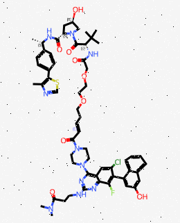 Cc1ncsc1-c1ccc([C@H](C)NC(=O)[C@@H]2C[C@@H](O)CN2C(=O)[C@@H](NC(=O)COCCOCC/C=C/C(=O)N2CCN(c3nc(NCCC(=O)N(C)C)nc4c(F)c(-c5cc(O)cc6ccccc56)c(Cl)cc34)CC2)C(C)(C)C)cc1